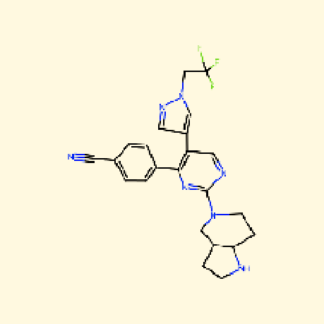 N#Cc1ccc(-c2nc(N3CCC4NCCC4C3)ncc2-c2cnn(CC(F)(F)F)c2)cc1